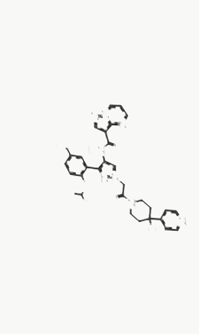 O=C(Nc1cn(CC(=O)N2CCC(O)(c3ccncc3)CC2)nc1-c1cc(Cl)ccc1OC(F)F)c1cnn2cccnc12